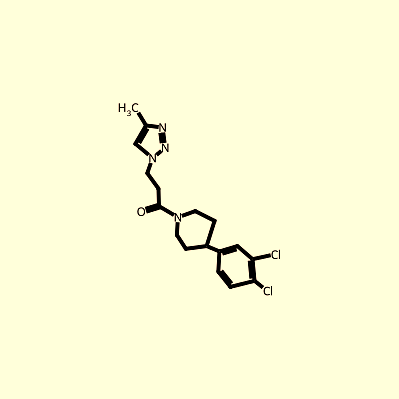 Cc1cn(CCC(=O)N2CCC(c3ccc(Cl)c(Cl)c3)CC2)nn1